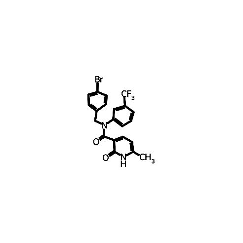 Cc1ccc(C(=O)N(Cc2ccc(Br)cc2)c2cccc(C(F)(F)F)c2)c(=O)[nH]1